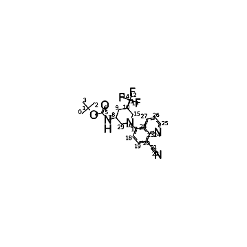 CC(C)(C)OC(=O)N[C@H]1C[C@@H](C(F)(F)F)CN(c2ccc(C#N)c3ncccc23)C1